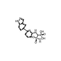 O=P(O)(O)C(Nc1cccc(-c2ccc3[nH]ncc3c2)n1)P(=O)(O)O